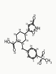 CS(=O)(=O)c1ccc(CC2CC(c3cc(=O)[nH]o3)CCN2C(=O)O)cc1